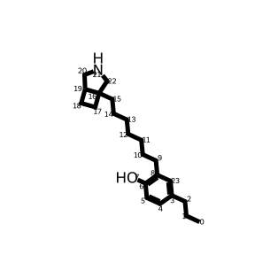 CCCc1ccc(O)c(CCCCCCCC23CCC2CNC3)c1